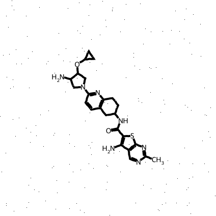 Cc1ncc2c(N)c(C(=O)NC3CCc4nc(N5CC(N)C(OC6CC6)C5)ccc4C3)sc2n1